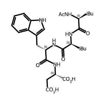 CCC(C)[C@H](NC(C)=O)C(=O)N[C@H](C(=O)N[C@@H](Cc1c[nH]c2ccccc12)C(=O)N[C@@H](CC(=O)O)C(=O)O)C(C)CC